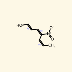 C\C=C/C(=C\C=C\O)[N+](=O)[O-]